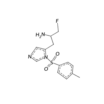 Cc1ccc(S(=O)(=O)n2cncc2CC(N)CF)cc1